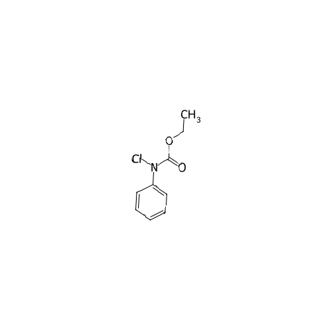 CCOC(=O)N(Cl)c1ccccc1